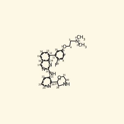 CN(C)CCOc1ccc(F)c(-c2cccc3cnc(Nc4cccnc4C4CNCCO4)nc23)c1